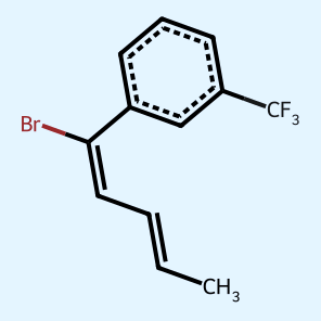 C/C=C/C=C(/Br)c1cccc(C(F)(F)F)c1